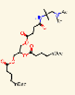 CCCCCCCCCCCCCC(=O)OCC(COC(=O)CCC(=O)NC(C)(C)CN(C(C)=O)C(C)C)OC(=O)CCCCCCCCCCCCC